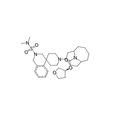 CN(C)S(=O)(=O)N1Cc2ccccc2C2(CCN(C3CCC4CCCCC(C3)N4C(=O)O[C@H]3CCOC3)CC2)C1